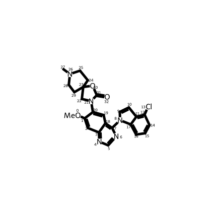 COc1cc2ncnc(-n3ccc4c(Cl)cccc43)c2cc1N1CC2(CCN(C)CC2)OC1=O